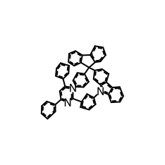 c1ccc(-c2cc(-c3ccccc3)nc(-c3cccc(-n4c5ccccc5c5ccc(C6(c7ccccc7)c7ccccc7-c7ccccc76)cc54)c3)n2)cc1